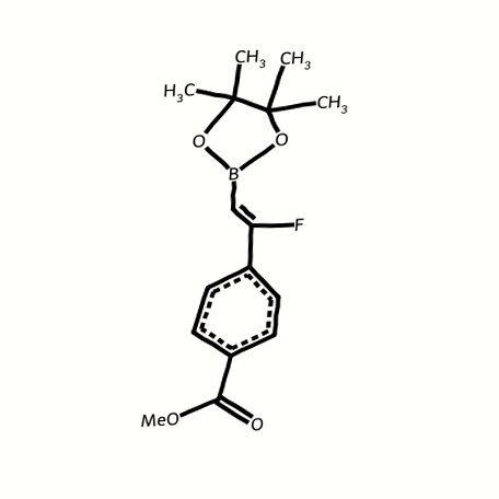 COC(=O)c1ccc(/C(F)=C/B2OC(C)(C)C(C)(C)O2)cc1